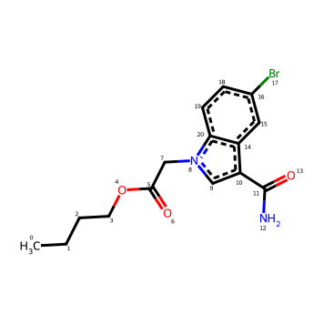 CCCCOC(=O)Cn1cc(C(N)=O)c2cc(Br)ccc21